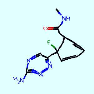 CNC(=O)C1C=CC=CC1(F)c1cnc(N)nn1